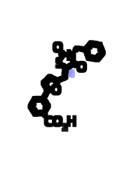 O=C(O)c1cccc(-c2ccc(/C=C3\SC(=O)N(Cc4ccccc4)C3=O)o2)c1